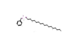 CCCCCCCCCCCCCCCCCC[P+](C)(C)Cc1ccccc1.[Cl-]